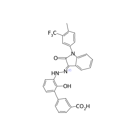 Cc1ccc(N2C(=O)/C(=N\Nc3cccc(-c4cccc(C(=O)O)c4)c3O)c3ccccc32)cc1C(F)(F)F